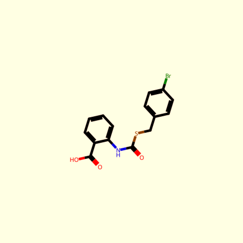 O=C(Nc1ccccc1C(=O)O)SCc1ccc(Br)cc1